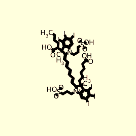 CCCCC(C(=O)O)C1(C)/C(=C/C=C/C=C/C=C/C2=[N+](CCCS(=O)(=O)O)c3cc(I)c(I)c(I)c3C2(C)CCCCCC(=O)O)N(CCCS(=O)(=O)O)c2cc(I)c(I)c(I)c21